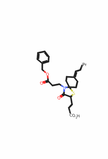 CC(C)CC=C1CCC2(CC1)SC(CCC(=O)O)C(=O)N2CCC(=O)OCc1ccccc1